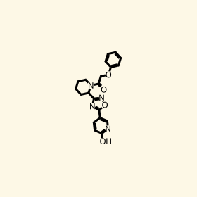 O=C(COc1ccccc1)N1CCCCC1c1noc(-c2ccc(O)nc2)n1